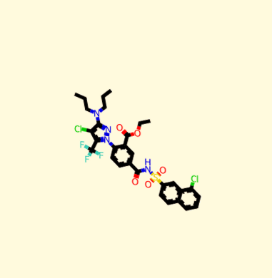 CCCN(CCC)c1nn(-c2ccc(C(=O)NS(=O)(=O)c3ccc4cccc(Cl)c4c3)cc2C(=O)OCC)c(C(F)(F)F)c1Cl